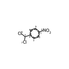 O=[N+]([O-])c1ccc(C(Cl)Cl)cc1